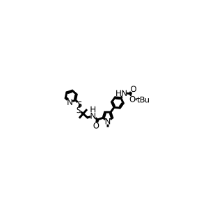 Cn1cc(-c2ccc(NC(=O)OC(C)(C)C)cc2)cc1C(=O)NCC(C)(C)SSc1ccccn1